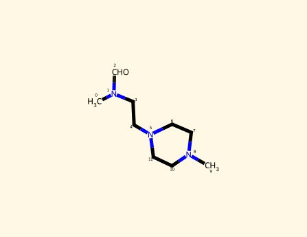 CN(C=O)CCN1CCN(C)CC1